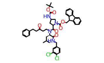 CC(C)C[C@H](C(=O)NCc1ccc(Cl)c(Cl)c1)N(CCC(=O)CCc1ccccc1)C(=O)C1CC(NC(=O)OC(C)(C)C)CN1C(=O)OCC1c2ccccc2-c2ccccc21